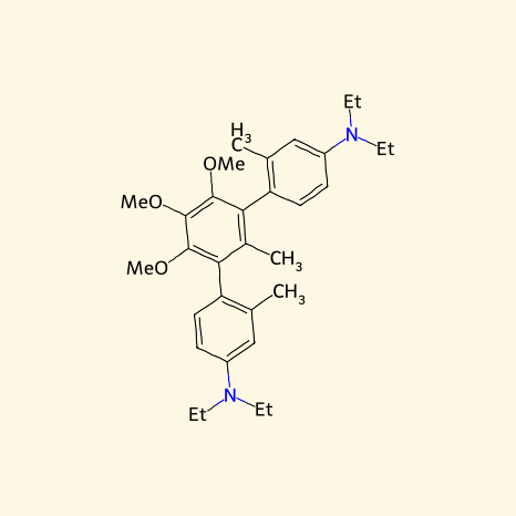 CCN(CC)c1ccc(-c2c(C)c(-c3ccc(N(CC)CC)cc3C)c(OC)c(OC)c2OC)c(C)c1